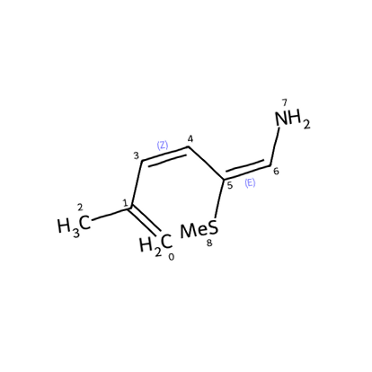 C=C(C)/C=C\C(=C/N)SC